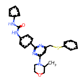 CC1COCCN1c1cc(CSc2ccccc2)nc(-c2ccc(NC(=O)Nc3ccccc3)cc2)n1